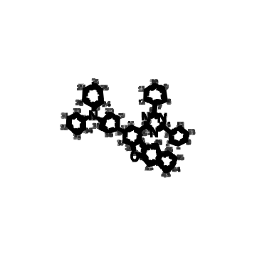 c1ccc(-c2nc(-c3ccccc3)nc(-c3cc(-c4ccc(N(c5ccccc5)c5ccccc5)cc4)cc4oc5cc6ccccc6cc5c34)n2)cc1